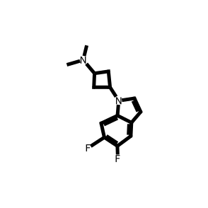 CN(C)C1CC(n2ccc3cc(F)c(F)cc32)C1